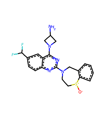 NC1CN(c2nc(N3CC[S+]([O-])c4ccccc4C3)nc3ccc(C(F)F)cc23)C1